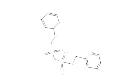 O=S(=O)(CCc1ccccc1)CS(=O)(=O)CCc1ccccc1